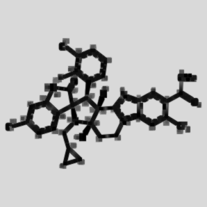 COC(=O)c1cc2nc3n(c2cc1C(F)(F)F)CC[C@H]1[C@@H]3[C@H](c2cccc(Cl)c2F)[C@]2(C(=O)Nc3cc(Cl)ccc32)N1CC1CC1